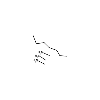 CCC[CH]CCC.CN.CN.CN